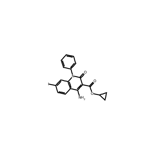 Nc1c(C(=O)OC2CC2)c(=O)n(-c2ccccc2)c2cc(I)ccc12